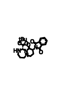 CC(C)(C)OC(=O)[C@H]1NCCCN2CC[C@H](N3C(=O)c4ccccc4C3=O)C(=O)N12